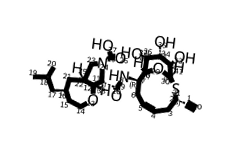 C#C[C@@H]1CC=CC[C@@H](NC(=O)[C@@H]2[C@@H]3OCC[C@@H](CC(C)C)C[C@H]3CN2C(=O)O)[C@H]2O[C@H](S1)[C@H](O)[C@@H](O)[C@H]2O